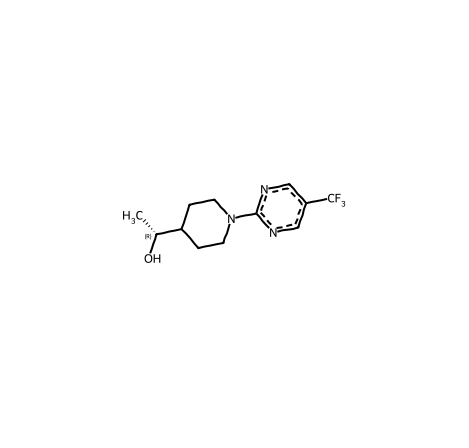 C[C@@H](O)C1CCN(c2ncc(C(F)(F)F)cn2)CC1